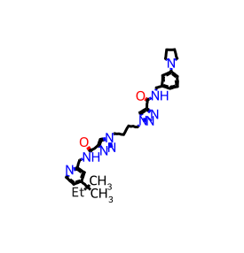 CCC(C)(C)c1ccnc(CNC(=O)c2cn(CCCCn3cc(C(=O)NCc4cccc(N5CCCC5)c4)nn3)nn2)c1